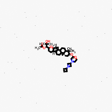 CC(=O)O[C@@H](C1CC[C@H]2C(O1)[C@@H]1C[C@@]13C1CCC4C(C)(C)[C@@H](O[C@H]5CN(C6CN(C7CCC7)C6)CCO5)CC[C@@]45C[C@@]15CC[C@]23C)C(C)(C)O